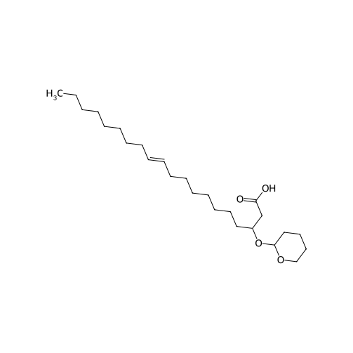 CCCCCCCCC=CCCCCCCCC(CC(=O)O)OC1CCCCO1